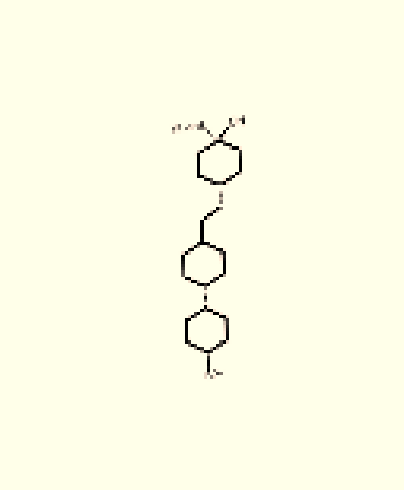 CCCCC[C@]1(C#N)CC[C@H](CCC2CCC([C@H]3CC[C@H](CCC)CC3)CC2)CC1